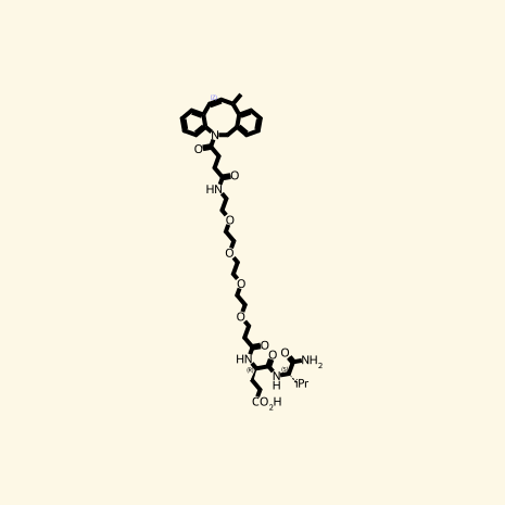 CC1/C=C\c2ccccc2N(C(=O)CCC(=O)NCCOCCOCCOCCOCCC(=O)N[C@H](CCC(=O)O)C(=O)N[C@H](C(N)=O)C(C)C)Cc2ccccc21